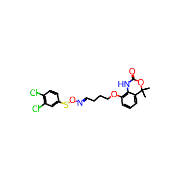 CC1(C)OC(=O)Nc2c(OCCCC=NOSc3ccc(Cl)c(Cl)c3)cccc21